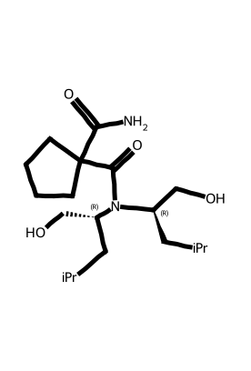 CC(C)C[C@H](CO)N(C(=O)C1(C(N)=O)CCCC1)[C@@H](CO)CC(C)C